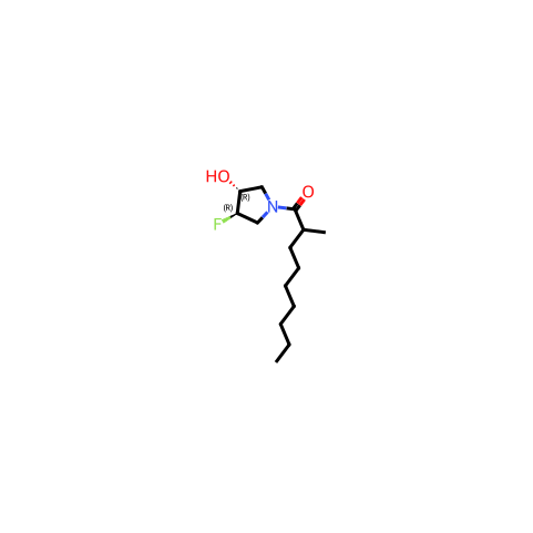 CCCCCCCC(C)C(=O)N1C[C@@H](O)[C@H](F)C1